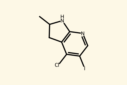 CC1Cc2c(ncc(I)c2Cl)N1